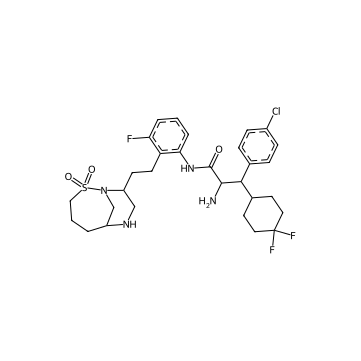 NC(C(=O)Nc1cccc(F)c1CCC1CNC2CCCS(=O)(=O)N1C2)C(c1ccc(Cl)cc1)C1CCC(F)(F)CC1